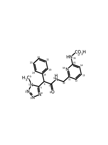 Cn1nnnc1C(C(=O)NCc1cccc(NC(=O)O)n1)c1ccccc1